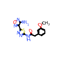 COc1cccc(CC(=O)Nc2nnc(-c3nonc3N)s2)c1